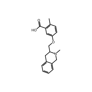 Cc1ccc(OCC2Cc3ccccc3CN2C)cc1C(=O)O